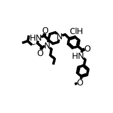 CCCCN1C(=O)[C@H](CC(C)C)NC(=O)C12CCN(Cc1ccc(C(=O)NCc3ccc(OC)cc3)cc1)CC2.Cl